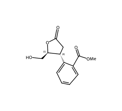 COC(=O)c1ccccc1[C@H]1CC(=O)O[C@@H]1CO